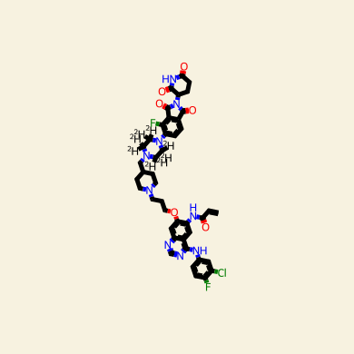 [2H]C1([2H])N(CC2CCN(CCCOc3cc4ncnc(Nc5ccc(F)c(Cl)c5)c4cc3NC(=O)C=C)CC2)C([2H])([2H])C([2H])([2H])N(c2ccc3c(c2F)C(=O)N(C2CCC(=O)NC2=O)C3=O)C1([2H])[2H]